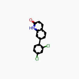 O=c1ccc2ccc(-c3ccc(Cl)cc3Cl)cc2[nH]1